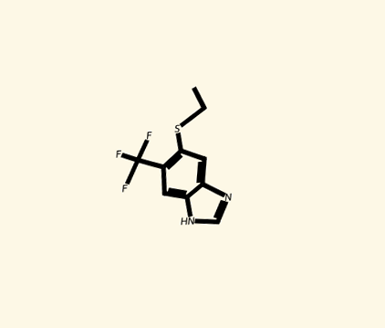 CCSc1cc2nc[nH]c2cc1C(F)(F)F